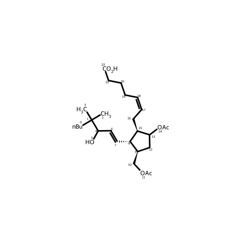 CCCCC(C)(C)C(O)/C=C/[C@H]1[C@H](COC(C)=O)CC(OC(C)=O)[C@@H]1C/C=C\CCCC(=O)O